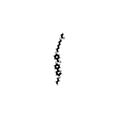 C=CC(=O)OCCCCCCCOc1ccc(C(=O)Oc2ccc(-c3ccc(OCCCC)cn3)cc2)cc1